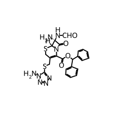 Nn1nnnc1SCC1=C(C(=O)OC(c2ccccc2)c2ccccc2)N2C(=O)[C@](N)(NC=O)[C@H]2SC1